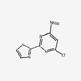 CC(=O)Nc1cc(Cl)nc(-c2nccs2)n1